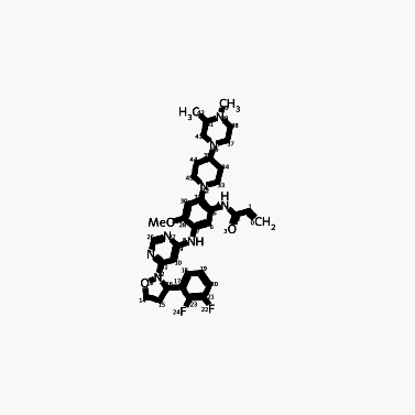 C=CC(=O)Nc1cc(Nc2cc(N3OCCC3c3cccc(F)c3F)ncn2)c(OC)cc1N1CCC(N2CCN(C)C(C)C2)CC1